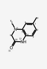 Cc1ccc2c(c1)N(I)CC(=O)N2